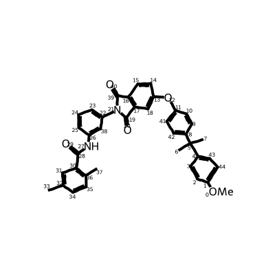 COc1ccc(C(C)(C)c2ccc(Oc3ccc4c(c3)C(=O)N(c3cccc(NC(=O)c5cc(C)ccc5C)c3)C4=O)cc2)cc1